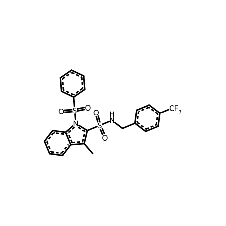 Cc1c(S(=O)(=O)NCc2ccc(C(F)(F)F)cc2)n(S(=O)(=O)c2ccccc2)c2ccccc12